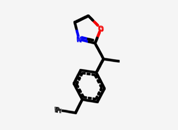 CC(C)Cc1ccc(C(C)C2=NCCO2)cc1